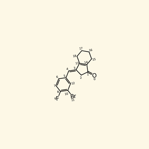 O=C1C/C(=C\c2ccc(F)c(Br)c2)C2=C1CCCC2